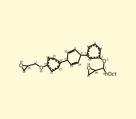 CCCCCCCCC(Oc1cccc(C2C=CC(c3ccc(OCC4CO4)cc3)C=C2)c1)C1CO1